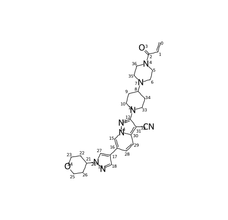 C=CC(=O)N1CCN(C2CCN(c3nn4cc(-c5cnn(C6CCOCC6)c5)ccc4c3C#N)CC2)CC1